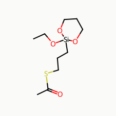 CCO[Si]1(CCCSC(C)=O)OCCCO1